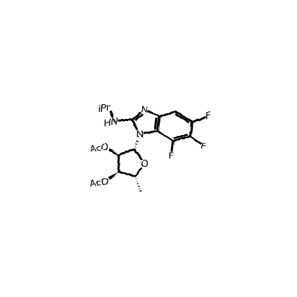 CC(=O)O[C@@H]1[C@H](OC(C)=O)[C@@H](C)O[C@H]1n1c(NC(C)C)nc2cc(F)c(F)c(F)c21